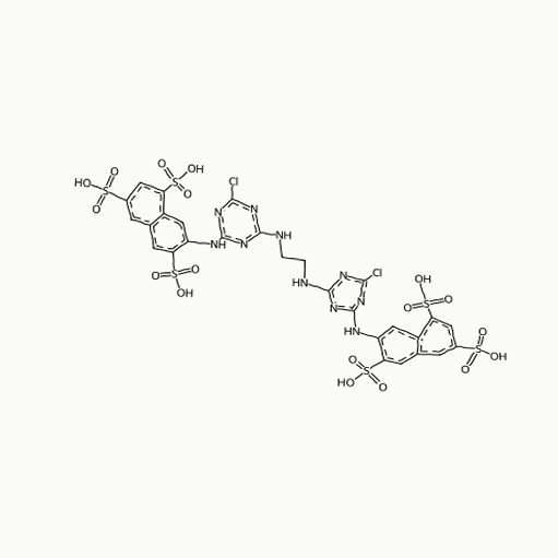 O=S(=O)(O)c1cc(S(=O)(=O)O)c2cc(Nc3nc(Cl)nc(NCCNc4nc(Cl)nc(Nc5cc6c(S(=O)(=O)O)cc(S(=O)(=O)O)cc6cc5S(=O)(=O)O)n4)n3)c(S(=O)(=O)O)cc2c1